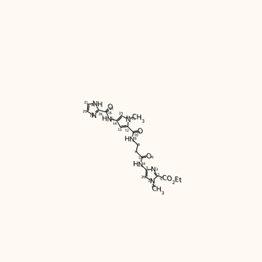 CCOC(=O)c1nc(NC(=O)CCNC(=O)c2cc(NC(=O)c3ncc[nH]3)cn2C)cn1C